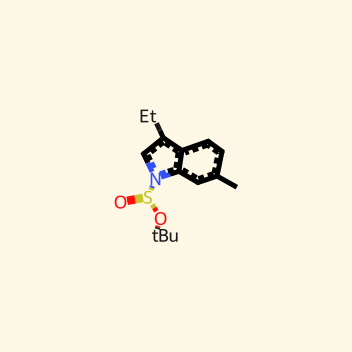 CCc1cn(S(=O)OC(C)(C)C)c2cc(C)ccc12